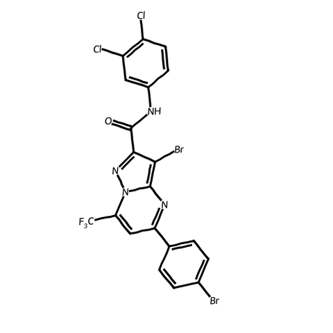 O=C(Nc1ccc(Cl)c(Cl)c1)c1nn2c(C(F)(F)F)cc(-c3ccc(Br)cc3)nc2c1Br